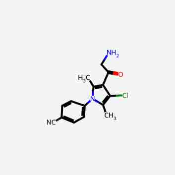 Cc1c(Cl)c(C(=O)CN)c(C)n1-c1ccc(C#N)cc1